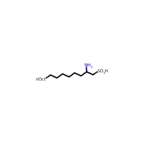 CCCCCCCCCCCCCCC(N)CS(=O)(=O)O